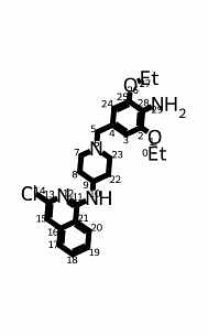 CCOc1cc(CN2CCC(Nc3nc(Cl)cc4ccccc34)CC2)cc(OCC)c1N